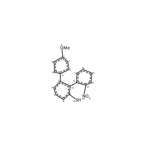 COc1ccc(-c2cccc(S)c2-c2ccccc2[N+](=O)[O-])cc1